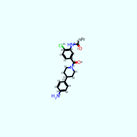 CCCC(=O)Nc1cc(C(=O)N2CCC(c3ccc(N)cc3)CC2)ccc1Cl